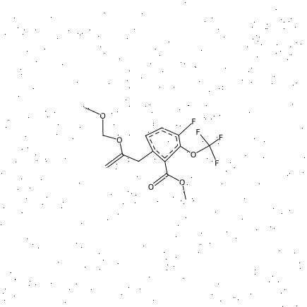 C=C(Cc1ccc(F)c(OC(F)(F)F)c1C(=O)OC)OCOC